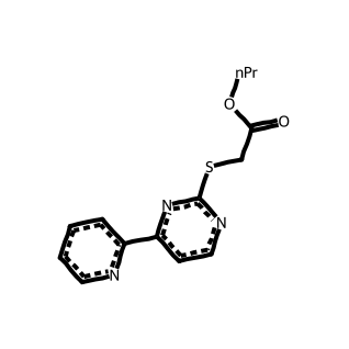 CCCOC(=O)CSc1nccc(-c2ccccn2)n1